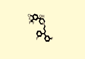 OC1(c2ccc(Cl)c(C(F)(F)F)c2)CCN(CCCC(c2cccc(F)c2)c2cccc(F)c2)CC1